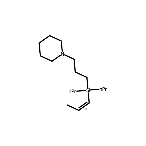 C/C=C\[Si](CCC)(CCC)CCCN1CCCCC1